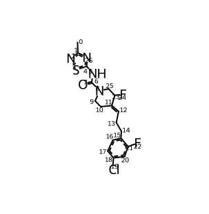 Cc1nsc(NC(=O)N2CC/C(=C\CCc3ccc(Cl)cc3F)C(F)C2)n1